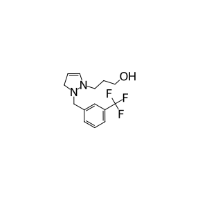 OCCCN1C=CCN1Cc1cccc(C(F)(F)F)c1